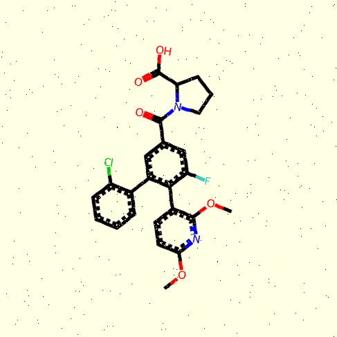 COc1ccc(-c2c(F)cc(C(=O)N3CCCC3C(=O)O)cc2-c2ccccc2Cl)c(OC)n1